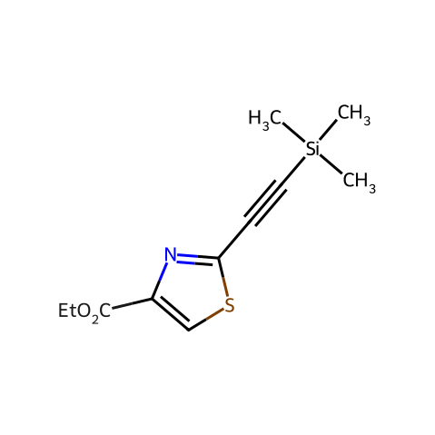 CCOC(=O)c1csc(C#C[Si](C)(C)C)n1